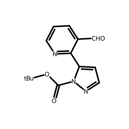 CC(C)(C)OC(=O)n1nccc1-c1ncccc1C=O